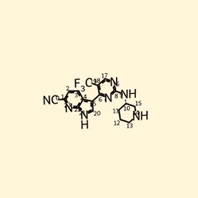 N#Cc1ccc2c(-c3nc(N[C@H]4CCCNC4)ncc3C(F)(F)F)c[nH]c2n1